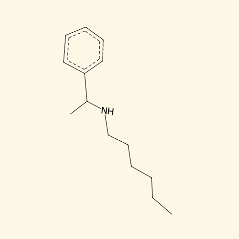 CCCCCCNC(C)c1ccccc1